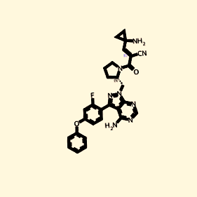 N#C/C(=C\C1(N)CC1)C(=O)N1CCC[C@H]1Cn1nc(-c2ccc(Oc3ccccc3)cc2F)c2c(N)ncnc21